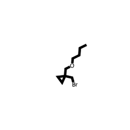 CCCCOCC1(CBr)CC1